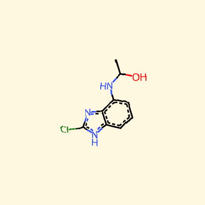 CC(O)Nc1cccc2[nH]c(Cl)nc12